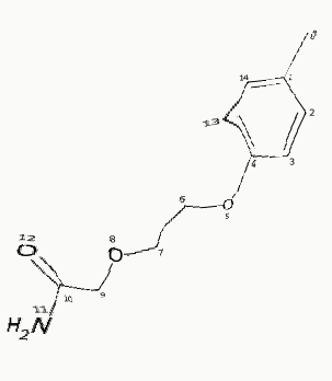 Cc1ccc(OCCOCC(N)=O)cc1